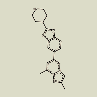 Cc1cn2cc(-c3ccc4nc(C5CCNCC5)sc4c3)cc(C)c2n1